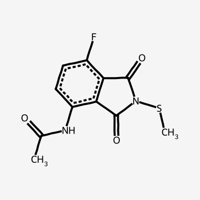 CSN1C(=O)c2c(F)ccc(NC(C)=O)c2C1=O